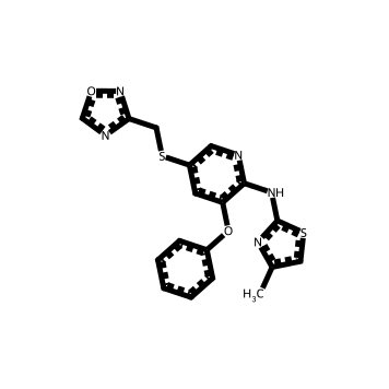 Cc1csc(Nc2ncc(SCc3ncon3)cc2Oc2ccccc2)n1